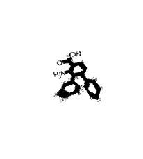 Nc1c(C(=O)O)ccc(-c2ccccc2)c1-c1ccccc1